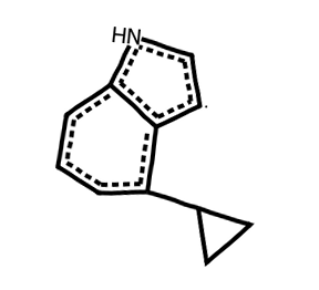 [c]1c[nH]c2cccc(C3CC3)c12